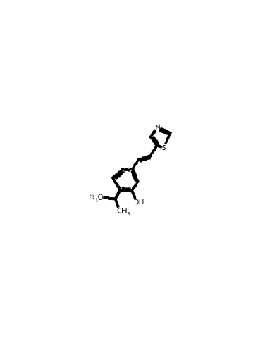 CC(C)c1ccc(/C=C/c2cncs2)cc1O